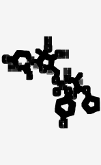 C[C@H](N[P@](=O)(OC[C@H]1O[C@@H](n2ccc(=O)[nH]c2=S)[C@](C)(O)C1O)Oc1ccc(Cl)cc1)C(=O)OC1CCCC1